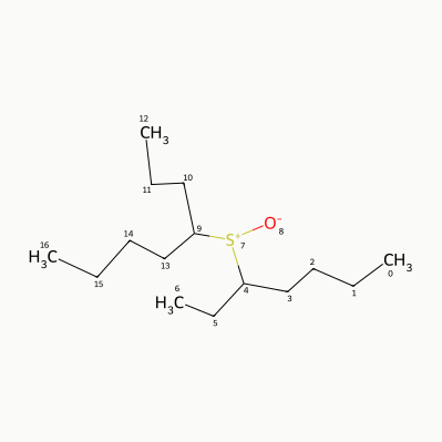 CCCCC(CC)[S+]([O-])C(CCC)CCCC